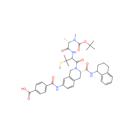 CSC(C)(C)C(NC(=O)[C@H](C)N(C)C(=O)OC(C)(C)C)C(=O)N1Cc2cc(NC(=O)c3ccc(C(=O)O)cc3)ccc2C[C@H]1C(=O)NC1CCCc2ccccc21